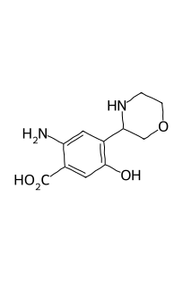 Nc1cc(C2COCCN2)c(O)cc1C(=O)O